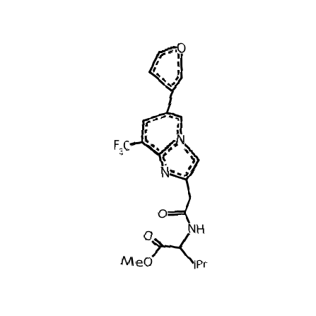 COC(=O)C(NC(=O)Cc1cn2cc(-c3ccoc3)cc(C(F)(F)F)c2n1)C(C)C